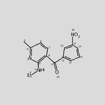 CCNc1nc(C)ccc1C(=O)c1cccc([N+](=O)[O-])c1